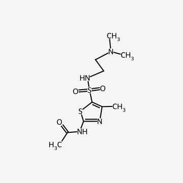 CC(=O)Nc1nc(C)c(S(=O)(=O)NCCN(C)C)s1